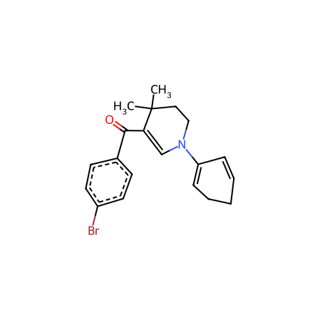 CC1(C)CCN(C2=CCCC=C2)C=C1C(=O)c1ccc(Br)cc1